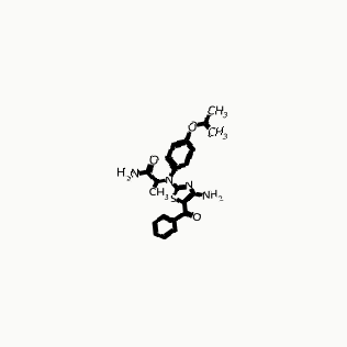 CC(C)Oc1ccc(N(c2nc(N)c(C(=O)c3ccccc3)s2)C(C)C(N)=O)cc1